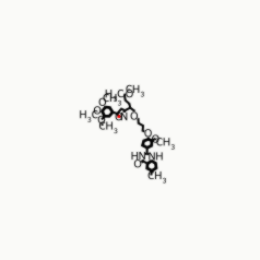 COc1cc(C2NC(=O)c3cc(C)ccc3N2)ccc1OCCCCOCC(CCC(C)OC)C1=NOC(c2cc(OC)c(OC)c(OC)c2)C1